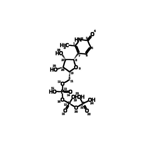 Cc1[nH]c(=O)ccc1[C@@H]1O[C@H](COP(=O)(O)OP(=O)(O)OP(=O)(O)O)[C@H](O)[C@@H]1O